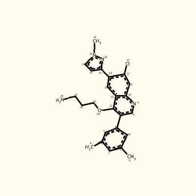 Cc1cc(C)cc(-c2cnc3cc(Cl)c(-c4ccn(C)n4)cc3c2OCCCN)c1